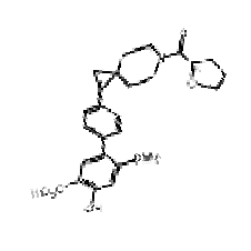 COc1cc(O)c(C(=O)O)cc1-c1ccc(C2CC23CCN(C(=O)[C@H]2CCCO2)CC3)cc1